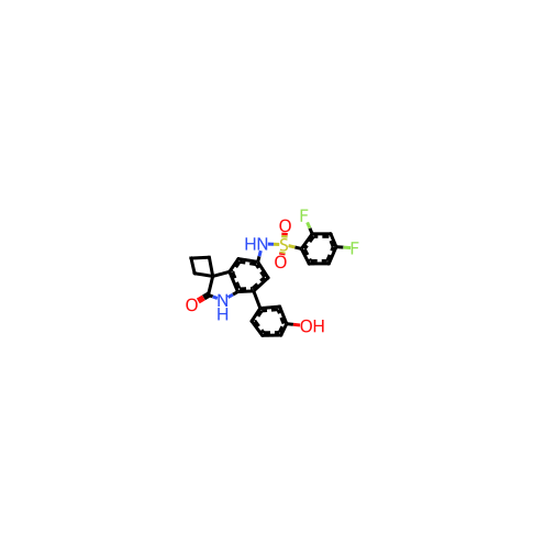 O=C1Nc2c(-c3cccc(O)c3)cc(NS(=O)(=O)c3ccc(F)cc3F)cc2C12CCC2